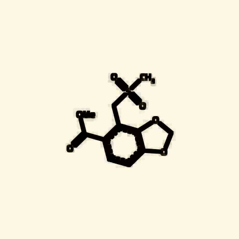 COC(=O)c1ccc2c(c1CS(C)(=O)=O)OCO2